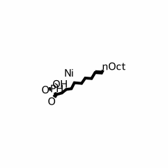 CCCCCCCCC=CCCCCCCCC(=O)[PH](=O)O.[Ni]